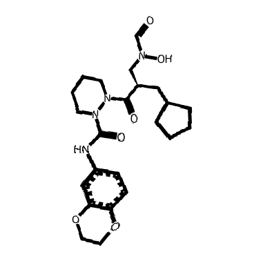 O=CN(O)C[C@@H](CC1CCCC1)C(=O)N1CCCCN1C(=O)Nc1ccc2c(c1)OCCO2